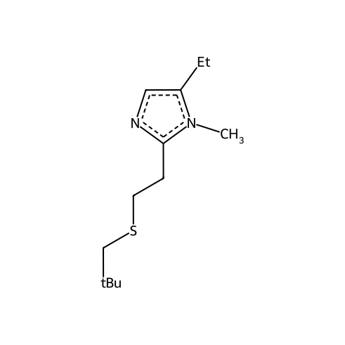 CCc1cnc(CCSCC(C)(C)C)n1C